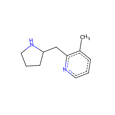 Cc1cccnc1CC1CCCN1